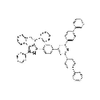 c1ccc(-c2ccc(-c3cc(-c4ccc(-c5nn(-c6ccccc6)c6c5c(-c5ccccc5)cc5ccccc56)cc4)nc(-c4ccc(-c5ccccc5)cc4)n3)cc2)cc1